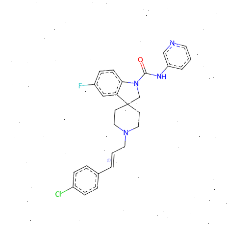 O=C(Nc1cccnc1)N1CC2(CCN(C/C=C/c3ccc(Cl)cc3)CC2)c2cc(F)ccc21